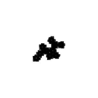 c1ccc(-c2ccc(-n3c4ccccc4c4ccc(-c5cccc6c7ccccc7c7cc(-c8cc(-c9ccccc9)nc(-c9ccccc9)n8)ccc7c56)cc43)cc2)cc1